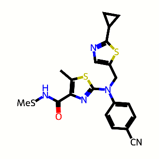 CSNC(=O)c1nc(N(Cc2cnc(C3CC3)s2)c2ccc(C#N)cc2)sc1C